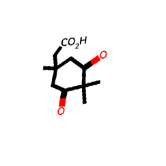 CC1(CC(=O)O)CC(=O)C(C)(C)C(=O)C1